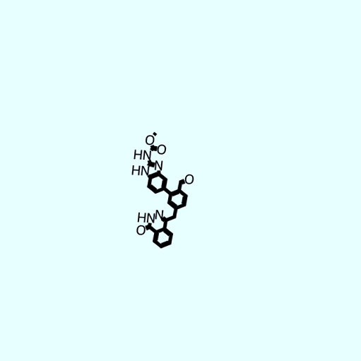 COC(=O)Nc1nc2cc(-c3cc(Cc4n[nH]c(=O)c5ccccc45)ccc3C=O)ccc2[nH]1